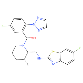 C[C@@H]1CCCN(C(=O)c2cc(F)ccc2-n2nccn2)[C@@H]1CNc1nc2ccc(F)cc2s1